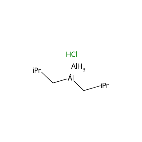 CC(C)[CH2][Al][CH2]C(C)C.Cl.[AlH3]